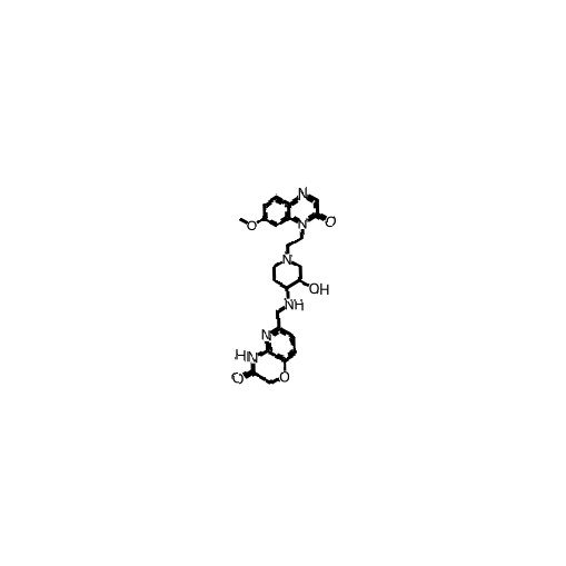 COc1ccc2ncc(=O)n(CCN3CCC(NCc4ccc5c(n4)NC(=O)CO5)C(O)C3)c2c1